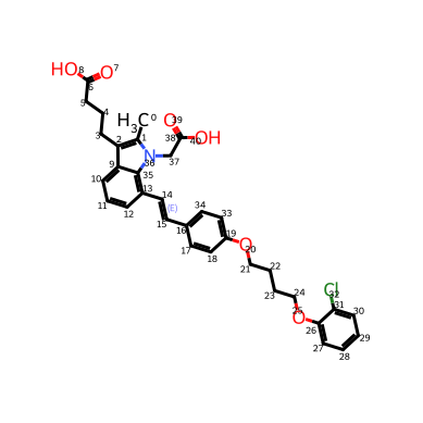 Cc1c(CCCC(=O)O)c2cccc(/C=C/c3ccc(OCCCCOc4ccccc4Cl)cc3)c2n1CC(=O)O